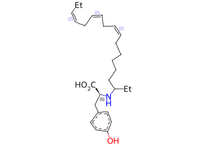 CC/C=C\C/C=C\C/C=C\CCCCCC(CC)N[C@@H](Cc1ccc(O)cc1)C(=O)O